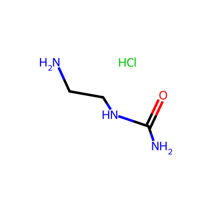 Cl.NCCNC(N)=O